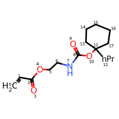 C=CC(=O)OCCNC(=O)OC1(CCC)CCCCC1